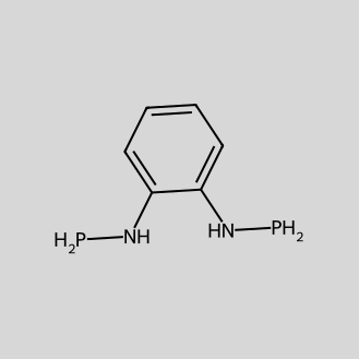 PNc1ccccc1NP